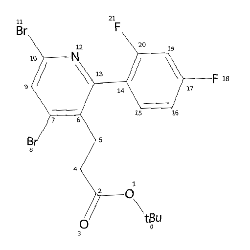 CC(C)(C)OC(=O)CCc1c(Br)cc(Br)nc1-c1ccc(F)cc1F